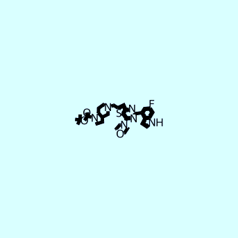 CC(C)(C)OC(=O)N1CCC2CN(Cc3cc4nc(-c5cc(F)cc6[nH]ccc56)nc(N5CCOCC5)c4s3)CCC21